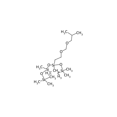 CC(C)COCOCC[Si](C)(O[Si](C)(C)C)O[Si](C)(C)O[Si](C)(C)C